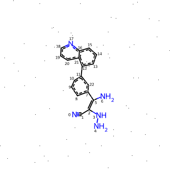 N#C/C(NN)=C(/N)c1cccc(-c2cccc3ncccc23)c1